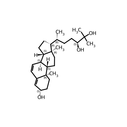 C[C@H](CC[C@H](O)C(C)(C)O)[C@H]1CC[C@H]2[C@@H]3C=CC4=C[C@@H](O)CC[C@]4(C)[C@H]3CC[C@]12C